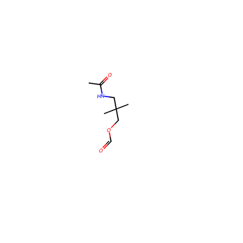 CC(=O)NCC(C)(C)COC=O